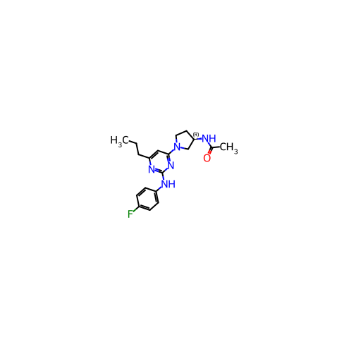 CCCc1cc(N2CC[C@@H](NC(C)=O)C2)nc(Nc2ccc(F)cc2)n1